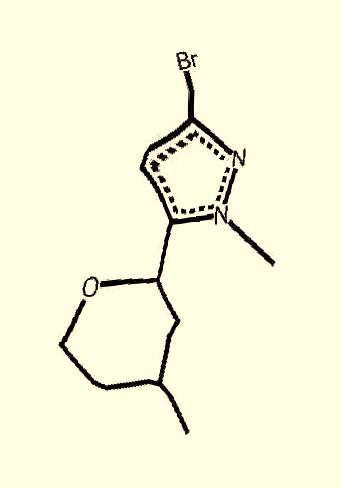 CC1CCOC(c2cc(Br)nn2C)C1